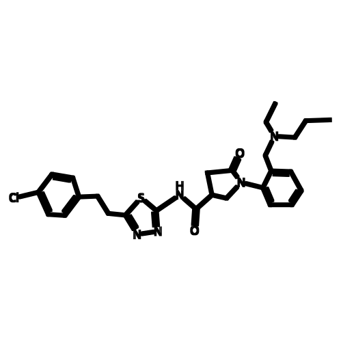 CCCN(CC)Cc1ccccc1N1CC(C(=O)Nc2nnc(CCc3ccc(Cl)cc3)s2)CC1=O